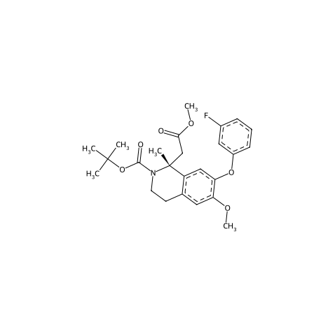 COC(=O)C[C@]1(C)c2cc(Oc3cccc(F)c3)c(OC)cc2CCN1C(=O)OC(C)(C)C